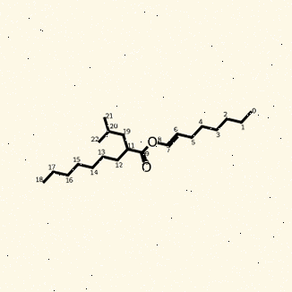 CCCCCCC=COC(=O)C(CCCCCCC)CC(C)C